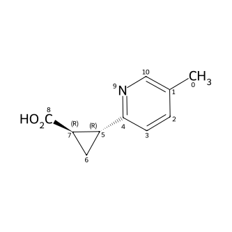 Cc1ccc([C@@H]2C[C@H]2C(=O)O)nc1